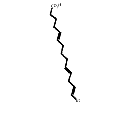 CC/C=C/C/C=C/CCC/C=C/CCCC(=O)O